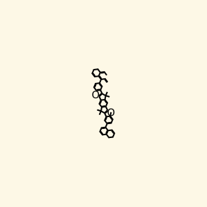 C=C/C(=C1/C=CCC/C1=C/C)c1ccc2oc3c(c2c1)C(C)(C)c1cc2c(cc1-3)C(C)(C)c1c-2oc2ccc(-c3cccc4c3C=CCC4)cc12